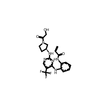 C=CC(=O)Nc1ccccc1Nc1nc(N[C@H]2CCN(C(=O)CO)C2)ncc1C(F)(F)F